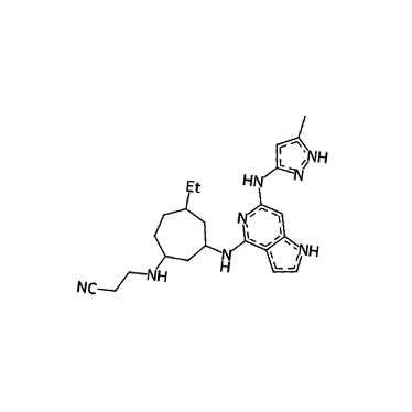 CCC1CCC(NCCC#N)CC(Nc2nc(Nc3cc(C)[nH]n3)cc3[nH]ccc23)C1